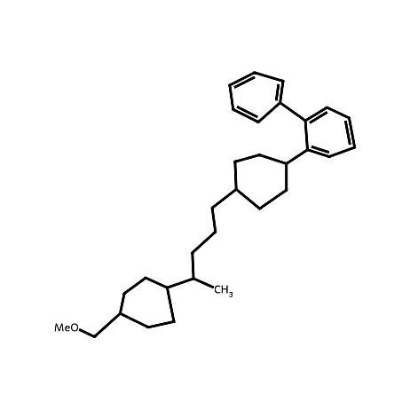 COCC1CCC(C(C)CCCC2CCC(c3ccccc3-c3ccccc3)CC2)CC1